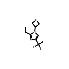 CCc1nc(C(F)(F)F)cn1C1COC1